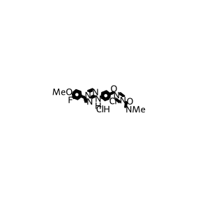 CNCC(=O)N1CCN(C(=O)c2ccc(Nc3nccn4c(-c5ccc(OC)c(F)c5)cnc34)cc2Cl)CC1.Cl